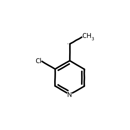 C[CH]c1ccncc1Cl